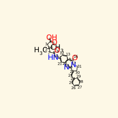 CC(C)(CC(=O)O)CC(=O)Nc1ccc2c(=O)n3c(nc2c1)C(=Cc1ccccc1)CC3